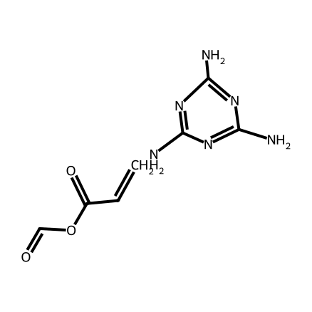 C=CC(=O)OC=O.Nc1nc(N)nc(N)n1